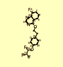 Fc1cccc2c(OCCc3ccc(OC(F)C(F)F)cc3)ncnc12